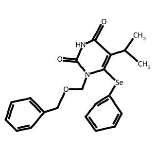 CC(C)c1c([Se]c2ccccc2)n(COCc2ccccc2)c(=O)[nH]c1=O